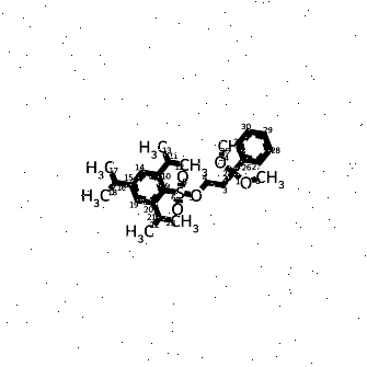 COC(CCOS(=O)(=O)c1c(C(C)C)cc(C(C)C)cc1C(C)C)(OC)c1ccccc1